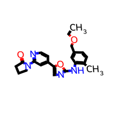 CCOCc1ccc(C)c(Nc2ncc(-c3ccnc(N4CCCC4=O)c3)o2)c1